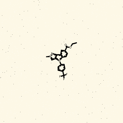 CCOC(=O)c1ccc2c(c1)c1nn(C)cc1n2-c1ccc(C(F)(F)F)cc1